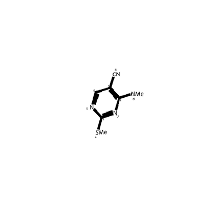 CNc1nc(SC)ncc1C#N